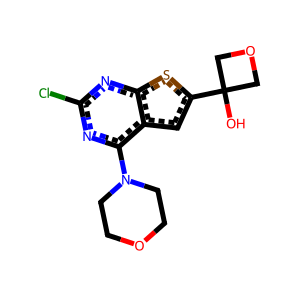 OC1(c2cc3c(N4CCOCC4)nc(Cl)nc3s2)COC1